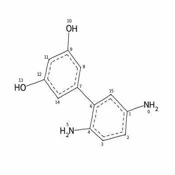 Nc1ccc(N)c(-c2cc(O)cc(O)c2)c1